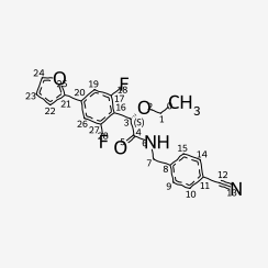 CCO[C@H](C(=O)NCc1ccc(C#N)cc1)c1c(F)cc(-c2ccco2)cc1F